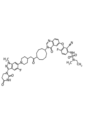 CCN(C)S(=O)(=O)Nc1ccc(F)c(Oc2ccc3ncn(C4CCCCC(C(=O)CC5CCN(c6cc7c(cc6F)c(N6CCC(=O)NC6=O)nn7C)CC5)CCC4)c(=O)c3c2)c1C#N